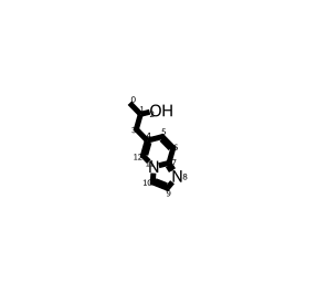 CC(O)Cc1ccc2nccn2c1